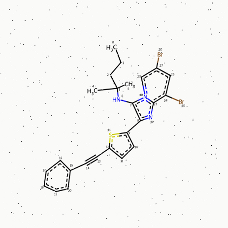 CCCC(C)(C)Nc1c(-c2ccc(C#Cc3ccccc3)s2)nc2c(Br)cc(Br)cn12